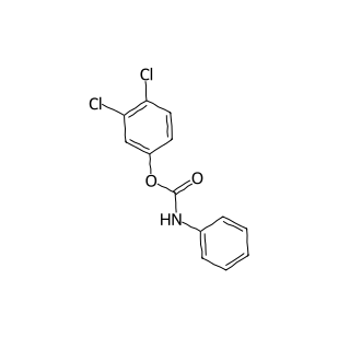 O=C(Nc1ccccc1)Oc1ccc(Cl)c(Cl)c1